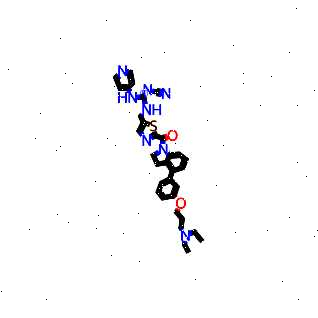 CCN(CC)CCCOc1cccc(-c2cccc3c2CCN3C(=O)c2ncc(CN/C(=N\C#N)Nc3ccncc3)s2)c1